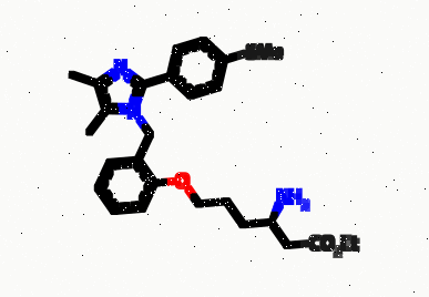 CCOC(=O)C[C@H](N)CCCOc1ccccc1Cn1c(-c2ccc(SC)cc2)nc(C)c1C